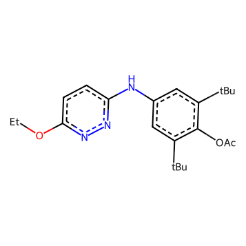 CCOc1ccc(Nc2cc(C(C)(C)C)c(OC(C)=O)c(C(C)(C)C)c2)nn1